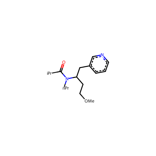 [CH2]CCN(C(=O)C(C)C)C(CCOC)Cc1cccnc1